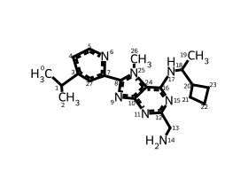 CC(C)c1ccnc(-c2nc3nc(CN)nc(NC(C)C4CCC4)c3n2C)c1